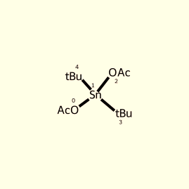 CC(=O)[O][Sn]([O]C(C)=O)([C](C)(C)C)[C](C)(C)C